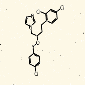 Clc1ccc(COC(CCc2ccc(Cl)cc2Cl)Cn2ccnc2)cc1